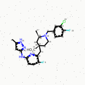 Cc1cc(Nc2ccc(F)c(C[C@@]3(C(=O)O)CCN(Cc4ccc(F)c(Cl)c4)[C@H](C)C3)n2)n[nH]1